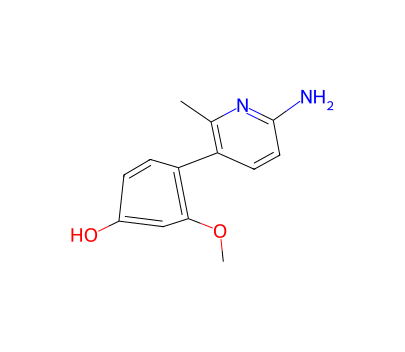 COc1cc(O)ccc1-c1ccc(N)nc1C